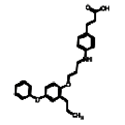 CCCc1cc(Oc2ccccc2)ccc1OCCCNc1ccc(CCC(=O)O)cc1